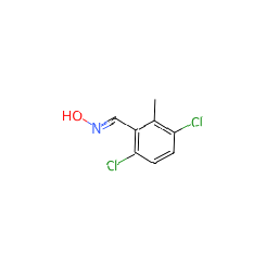 Cc1c(Cl)ccc(Cl)c1C=NO